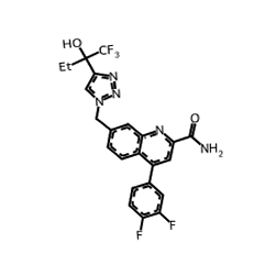 CCC(O)(c1cn(Cc2ccc3c(-c4ccc(F)c(F)c4)cc(C(N)=O)nc3c2)nn1)C(F)(F)F